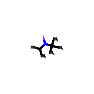 CCC(C)N(I)C(C)(C)C